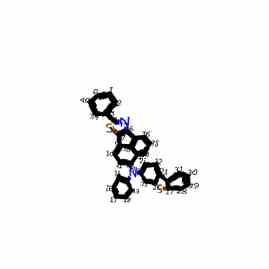 c1ccc(-c2nc3c(s2)-c2ccc(N(c4ccccc4)c4ccc5c(c4)sc4ccccc45)c4cccc-3c24)cc1